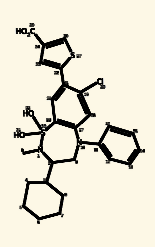 CN1C(C2CCCCC2)CN(c2ccccc2)c2cc(Cl)c(-c3cc(C(=O)O)cs3)cc2S1(O)O